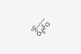 CCCCCCCCC(Cl)(Cl)Cl.O=C(OOC(=O)c1ccccc1)c1ccccc1